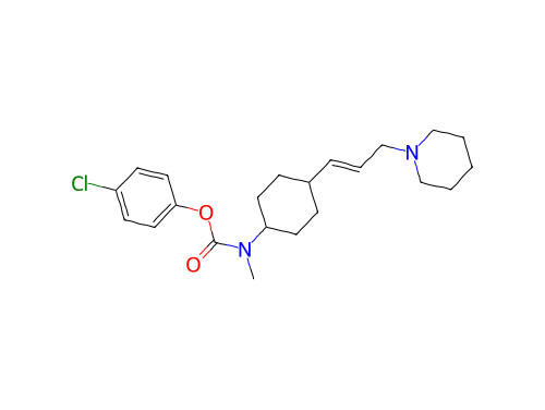 CN(C(=O)Oc1ccc(Cl)cc1)C1CCC(/C=C/CN2CCCCC2)CC1